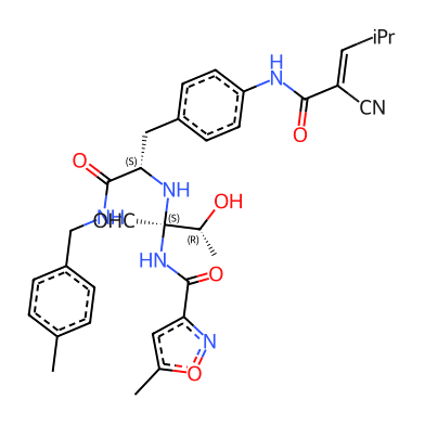 Cc1ccc(CNC(=O)[C@H](Cc2ccc(NC(=O)C(C#N)=CC(C)C)cc2)N[C@](C=O)(NC(=O)c2cc(C)on2)[C@@H](C)O)cc1